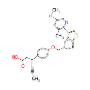 CC#CC(CC(=O)O)c1ccc(OCc2ccc3scc(-c4ncc(OC)cc4C)c3c2)cc1